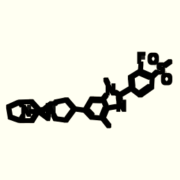 Cc1cc(C2CCN(C3CC4CCC(C3)N4C3CC3)CC2)cc2c1nc(-c1ccc(S(C)(=O)=O)c(F)c1)n2C